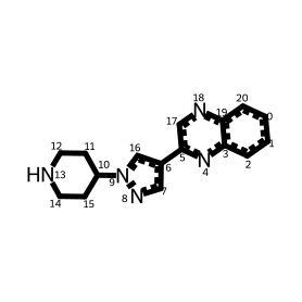 c1ccc2nc(-c3cnn(C4CCNCC4)c3)cnc2c1